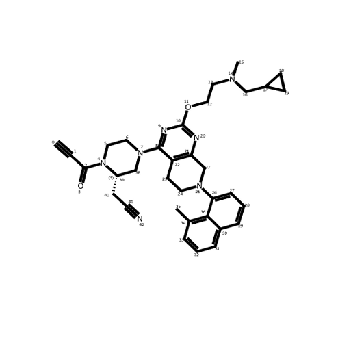 C#CC(=O)N1CCN(c2nc(OCCN(C)CC3CC3)nc3c2CCN(c2cccc4cccc(C)c24)C3)C[C@@H]1CC#N